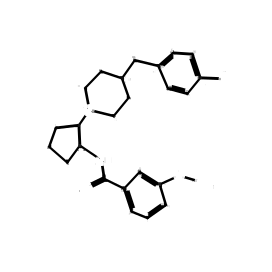 COc1cccc(C(=O)NC2CCCC2N2CCC(Cc3ccc(Cl)cc3)CC2)c1